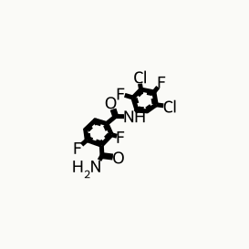 NC(=O)c1c(F)ccc(C(=O)Nc2cc(Cl)c(F)c(Cl)c2F)c1F